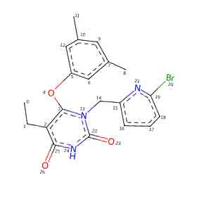 CCc1c(Oc2cc(C)cc(C)c2)n(Cc2cccc(Br)n2)c(=O)[nH]c1=O